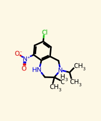 CC(C)N1Cc2cc(Cl)cc([N+](=O)[O-])c2NCC1(C)C